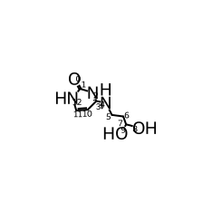 O=c1nc(NCCC(O)O)cc[nH]1